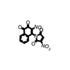 O=C1C(=O)c2ccccc2C(N2C(=O)C=C([N+](=O)[O-])C2=O)=C1[N+](=O)[O-]